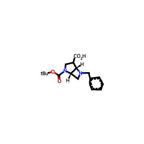 CC(C)(C)OC(=O)N1CC(C(=O)O)[C@H]2[C@@H]1CN2Cc1ccccc1